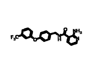 Nc1ncccc1C(=O)NCc1ccc(Oc2cccc(C(F)(F)F)c2)cc1